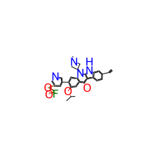 C#Cc1ccc2c(c1)[nH]c1c2c(=O)c2cc(OC(C)C)c(-c3cncc(S(=O)(=O)F)c3)cc2n1C1CN(C)C1